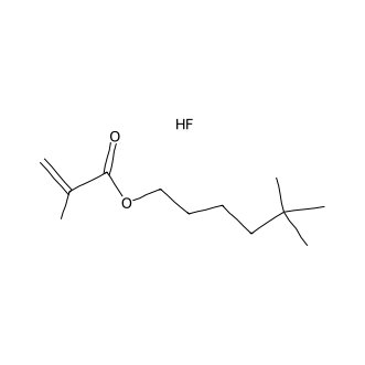 C=C(C)C(=O)OCCCCC(C)(C)C.F